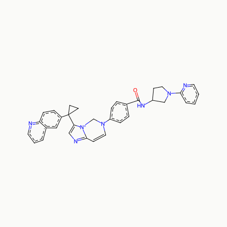 O=C(NC1CCN(c2ccccn2)C1)c1ccc(N2C=CC3=NC=C(C4(c5ccc6ncccc6c5)CC4)[N+]3C2)cc1